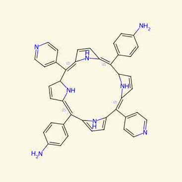 Nc1ccc(/C2=C3\C=CC(N3)/C(c3ccncc3)=c3/cc/c([nH]3)=C(\c3ccc(N)cc3)C3C=C/C(=C(\c4ccncc4)c4ccc2[nH]4)N3)cc1